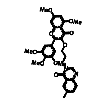 COc1cc(OC)c2c(=O)c(OCCCn3cnc4ccc(C)cc4c3=O)c(-c3cc(OC)c(OC)c(OC)c3)oc2c1